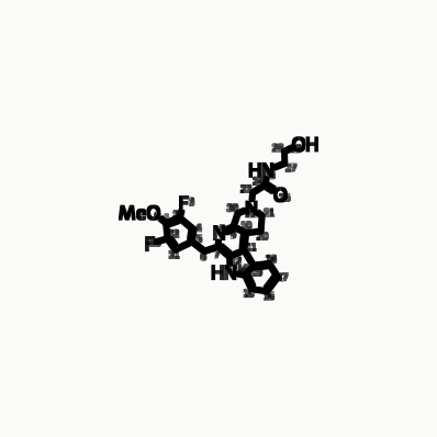 COc1c(F)cc(Cc2nc3c(c4c2[nH]c2ccccc24)CCN(CC(=O)NCCO)C3)cc1F